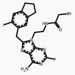 CC(C)CC(=O)NCCn1c(Cc2cc3c(cc2I)CCC3)nc2c(N)nc(F)nc21